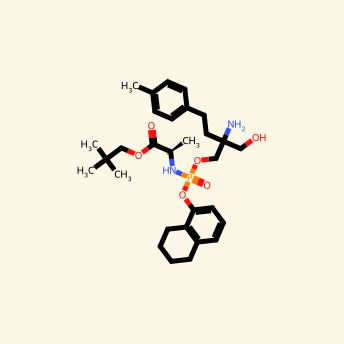 Cc1ccc(CCC(N)(CO)COP(=O)(N[C@H](C)C(=O)OCC(C)(C)C)Oc2cccc3c2CCCC3)cc1